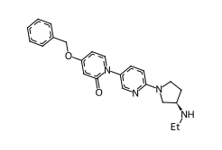 CCN[C@@H]1CCN(c2ccc(-n3ccc(OCc4ccccc4)cc3=O)cn2)C1